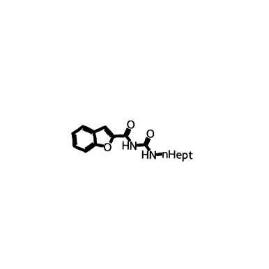 CCCCCCCNC(=O)NC(=O)c1cc2ccccc2o1